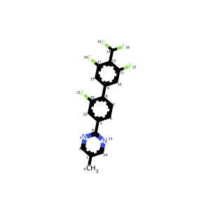 Cc1cnc(-c2ccc(-c3cc(F)c(C(F)F)c(F)c3)c(F)c2)nc1